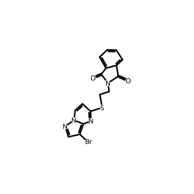 O=C1c2ccccc2C(=O)N1CCSc1ccn2ncc(Br)c2n1